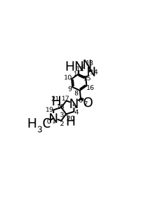 CN1C[C@@H]2CN(C(=O)c3ccc4[nH]nnc4c3)C[C@@H]2C1